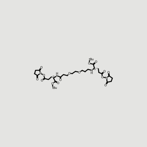 CC(C)(C)OC(=O)[C@H](CCC(=O)ON1C(=O)CCC1=O)NCCCOCCOCCC(=O)N[C@@H](CCC(=O)ON1C(=O)CCC1=O)C(=O)OC(C)(C)C